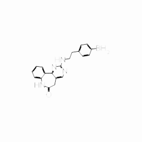 Bc1ccc(CCNc2ncc3c(n2)-c2ccccc2NC(=O)C3)cc1